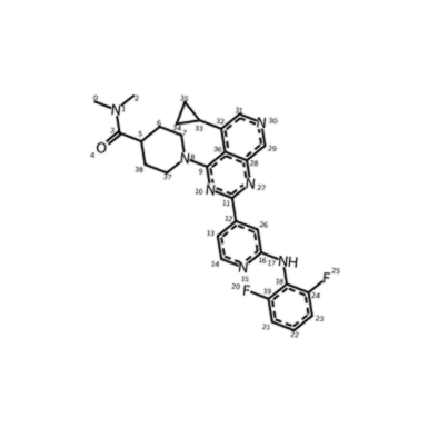 CN(C)C(=O)C1CCN(c2nc(-c3ccnc(Nc4c(F)cccc4F)c3)nc3cncc(C4CC4)c23)CC1